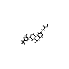 COC(=O)COc1ccc(CC(C)N2CCOC(c3nc(C(F)(F)F)sc3C)C2)cc1